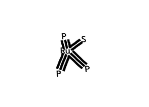 [P]#[Ru](#[P])(#[P])=[S]